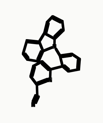 N#Cc1cccc(-c2ccccc2-n2c3ccccc3c3ccccc32)n1